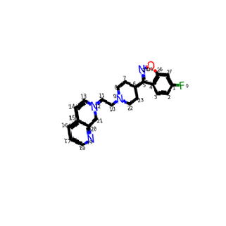 Fc1ccc2c(C3CCN(CCN4C=Cc5cccnc5C4)CC3)noc2c1